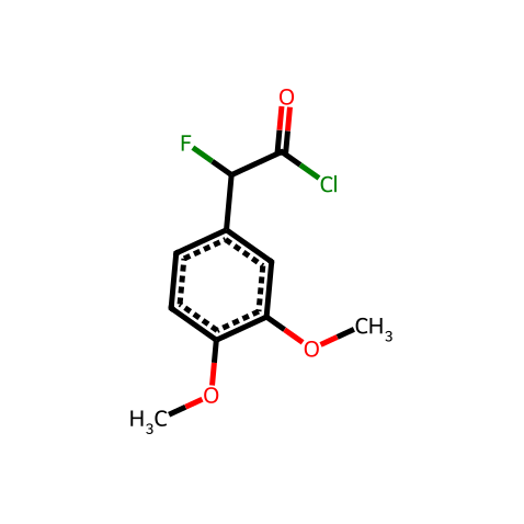 COc1ccc(C(F)C(=O)Cl)cc1OC